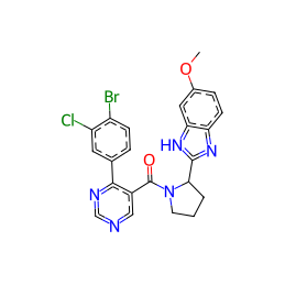 COc1ccc2nc(C3CCCN3C(=O)c3cncnc3-c3ccc(Br)c(Cl)c3)[nH]c2c1